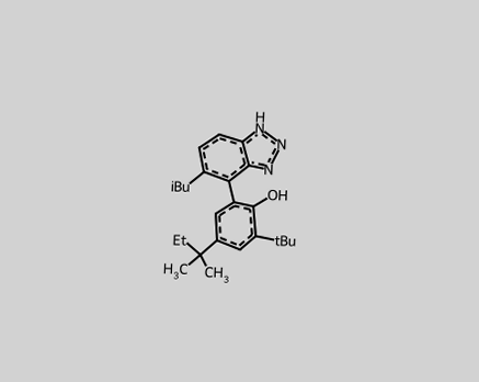 CCC(C)c1ccc2[nH]nnc2c1-c1cc(C(C)(C)CC)cc(C(C)(C)C)c1O